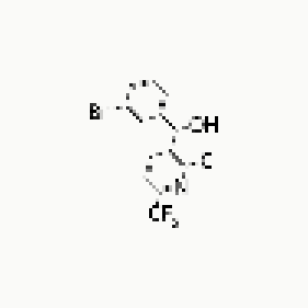 OC(c1cccc(Br)c1)c1ccc(C(F)(F)F)nc1Cl